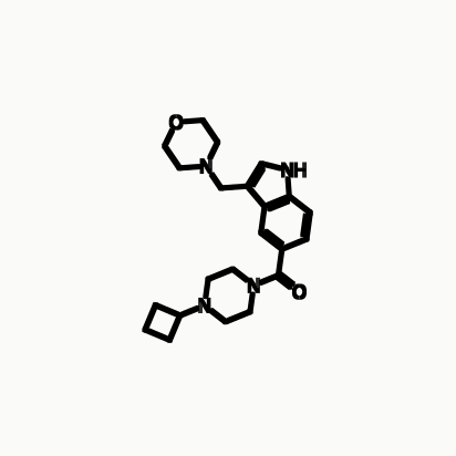 O=C(c1ccc2[nH]cc(CN3CCOCC3)c2c1)N1CCN(C2CCC2)CC1